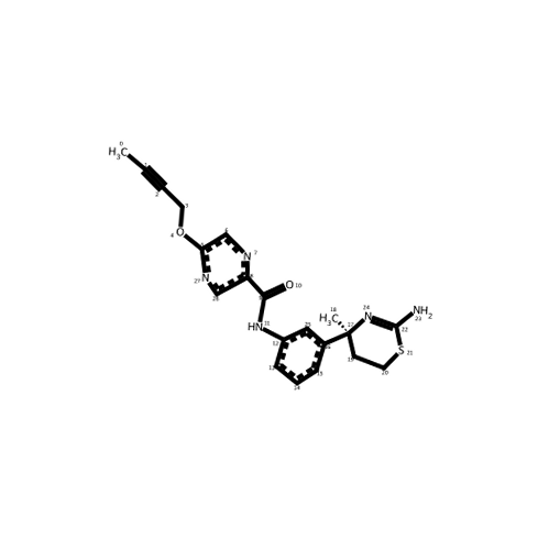 CC#CCOc1cnc(C(=O)Nc2cccc([C@]3(C)CCSC(N)=N3)c2)cn1